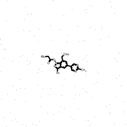 CC(=O)OCc1cc(-c2cnc(C)nc2)cc2c(C(C)=O)nn(OC(=O)CC(C)(C)C)c12